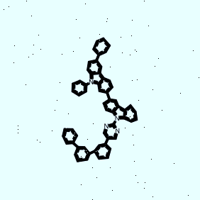 c1ccc(-c2cccc(-c3cccc(-c4cnc(-n5c6ccccc6c6cc(-c7ccc8c9cc(-c%10ccccc%10)ccc9n(-c9ccccc9)c8c7)ccc65)nc4)c3)c2)cc1